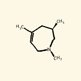 CC1=CCN(C)C[C@H](C)C1